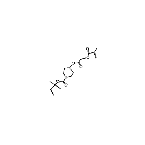 C=C(C)C(=O)OCC(=O)OC1CCN(C(=O)OC(C)(C)CC)CC1